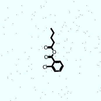 CCCCC(=O)OC(=O)c1ccccc1Cl